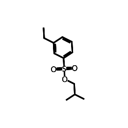 CCc1cccc(S(=O)(=O)OCC(C)C)c1